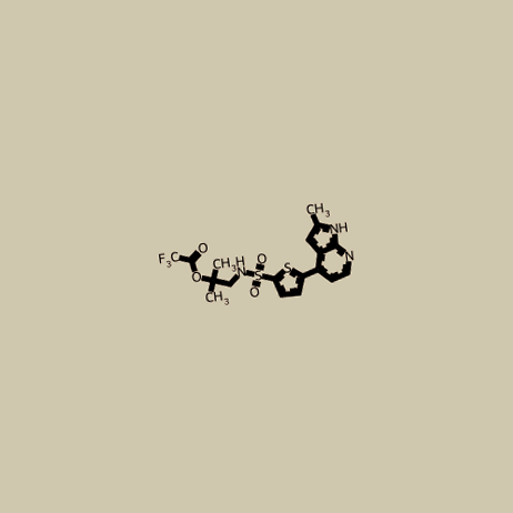 Cc1cc2c(-c3ccc(S(=O)(=O)NCC(C)(C)OC(=O)C(F)(F)F)s3)ccnc2[nH]1